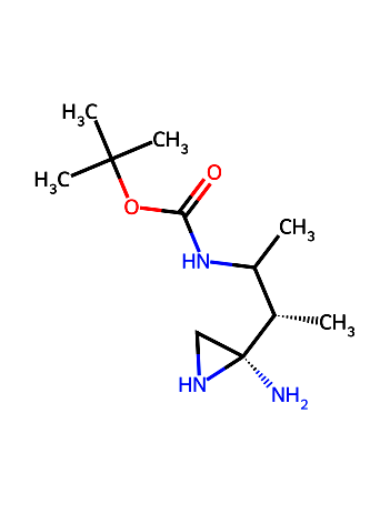 CC(NC(=O)OC(C)(C)C)[C@H](C)[C@]1(N)CN1